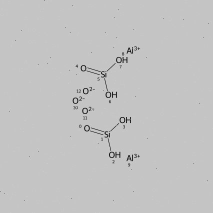 O=[Si](O)O.O=[Si](O)O.[Al+3].[Al+3].[O-2].[O-2].[O-2]